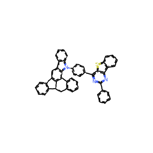 c1ccc(-c2nc(-c3ccc(-n4c5ccccc5c5cc6c7c(c54)-c4ccccc4CC7c4ccccc4-6)cc3)c3sc4ccccc4c3n2)cc1